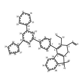 C=CC1CC2=C(C(c3ccc(-c4nc(-c5ccccc5)cc(-c5ccccc5)n4)cc3)=C1CC)c1ccccc1C2(C)C